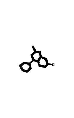 O=c1cc(-c2ccccc2)c2ccc(Cl)cc2o1